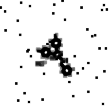 Cc1ccc(C2N=C(NCc3ccccc3)NC2c2ccc(C)cc2)cc1.Cl